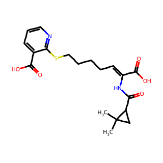 CC1(C)CC1C(=O)NC(=CCCCCSc1ncccc1C(=O)O)C(=O)O